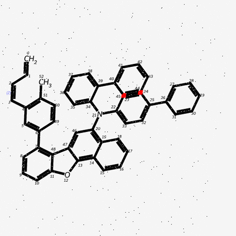 C=C/C=C\c1cc(-c2cccc3oc4c5ccccc5c(N(c5ccc(-c6ccccc6)cc5)c5ccccc5-c5ccccc5)cc4c23)ccc1C